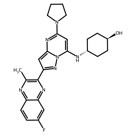 Cc1nc2ccc(F)cc2nc1-c1cc2nc(N3CCCC3)cc(N[C@H]3CC[C@H](O)CC3)n2n1